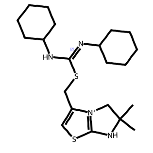 CC1(C)C[n+]2c(CS/C(=N\C3CCCCC3)NC3CCCCC3)csc2N1